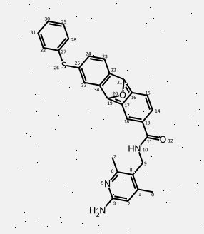 Cc1cc(N)nc(C)c1CNC(=O)c1ccc2c(c1)c1oc2c2ccc(Sc3ccccc3)cc21